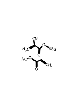 C=C(C#N)C(=O)OCCCC.C=CC(=O)OC#N